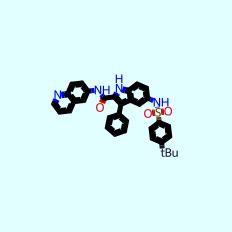 CC(C)(C)c1ccc(S(=O)(=O)Nc2ccc3[nH]c(C(=O)Nc4ccc5ncccc5c4)c(-c4ccccc4)c3c2)cc1